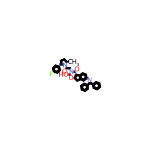 C[C@H]1CC[C@@H](c2ccc(F)cc2)N1C(=O)CN(C(=O)O)C(=O)[C@H]1CCc2cc(N=C(c3ccccc3)c3ccccc3)ccc21